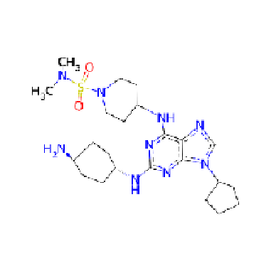 CN(C)S(=O)(=O)N1CCC(Nc2nc(N[C@H]3CC[C@H](N)CC3)nc3c2ncn3C2CCCC2)CC1